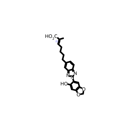 C/C(=C\CCCCc1ccc2nn(-c3cc4c(cc3O)OCO4)nc2c1)C(=O)O